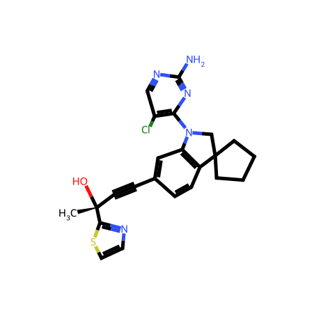 C[C@@](O)(C#Cc1ccc2c(c1)N(c1nc(N)ncc1Cl)CC21CCCC1)c1nccs1